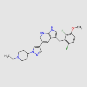 CCN1CCC(n2cc(C3=Cc4c(Cc5c(F)ccc(OC)c5F)c[nH]c4NC3)cn2)CC1